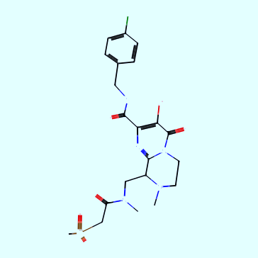 CN(CC1c2nc(C(=O)NCc3ccc(F)cc3)c(O)c(=O)n2CCN1C)C(=O)CS(C)(=O)=O